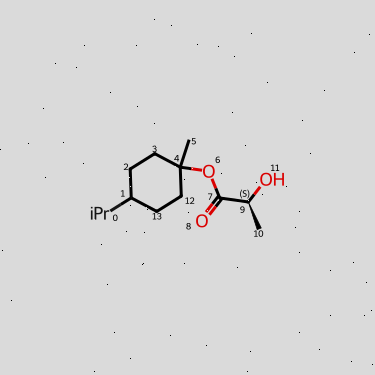 CC(C)C1CCC(C)(OC(=O)[C@H](C)O)CC1